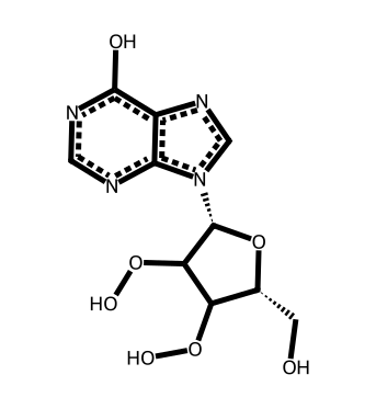 OC[C@H]1O[C@@H](n2cnc3c(O)ncnc32)C(OO)C1OO